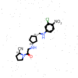 N#C[C@@H]1CCCN1C(=O)CN[C@@H]1CC[C@H](CNc2ccc([N+](=O)[O-])c(Cl)c2)C1